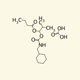 CCCC(=O)OC(OC(=O)NCC1CCCCC1)C(C)C.O=C(O)O